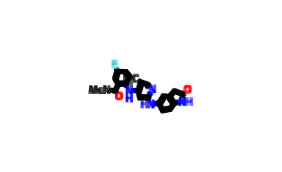 CNC(=O)c1cc(F)ccc1Nc1cc(Nc2ccc3c(c2)CC(=O)N3)ncc1C(F)(F)F